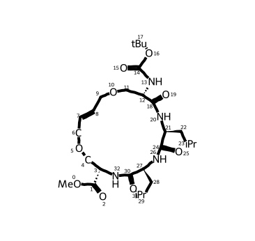 COC(=O)[C@@H]1COC/C=C/COC[C@H](NC(=O)OC(C)(C)C)C(=O)N[C@@H](CC(C)C)C(=O)N[C@@H](CC(C)C)C(=O)N1